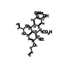 C=CCOc1cc(OCC=C)c(C(=O)c2ccc(O)c(OC)c2)c(CC(=O)O)c1CC